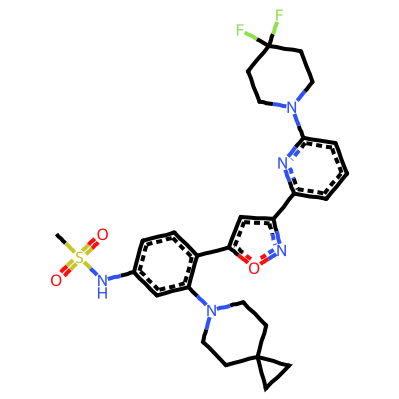 CS(=O)(=O)Nc1ccc(-c2cc(-c3cccc(N4CCC(F)(F)CC4)n3)no2)c(N2CCC3(CC2)CC3)c1